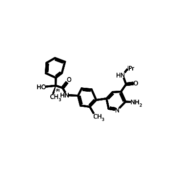 Cc1cc(NC(=O)[C@](C)(O)c2ccccc2)ccc1-c1cnc(N)c(C(=O)NC(C)C)c1